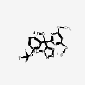 COc1cc(OC)nc(C(OC)(c2cccc(OC(F)(F)F)c2)c2nnnn2C)n1